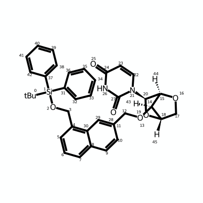 CC(C)(C)[Si](OCc1cccc2ccc(CO[C@H]3[C@@H]4OC[C@@H]3O[C@H]4n3ccc(=O)[nH]c3=O)cc12)(c1ccccc1)c1ccccc1